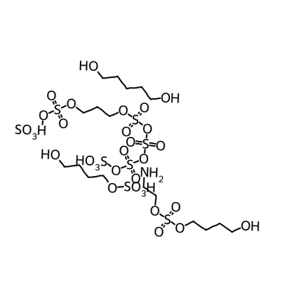 NCCOS(=O)(=O)OCCCCO.O=S(=O)(O)OCCCCO.O=S(=O)(O)OS(=O)(=O)OCCCOS(=O)(=O)OS(=O)(=O)OS(=O)(=O)OS(=O)(=O)O.OCCCCCO